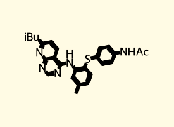 CCC(C)c1ccc2c(Nc3cc(C)ccc3Sc3ccc(NC(C)=O)cc3)ncnc2n1